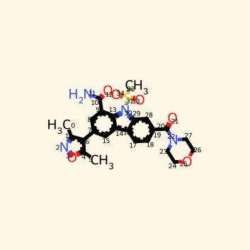 Cc1noc(C)c1-c1cc(C(N)=O)c2c(c1)c1ccc(C(=O)N3CCOCC3)cc1n2S(C)(=O)=O